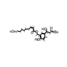 CCCCCCCCCCCCCCC/C=C\C(=O)OCc1cc(C(O)CNC(C)(C)C)ccc1O